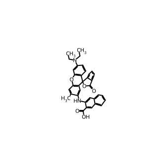 CCN(CC)c1ccc2c(c1)Oc1cc(C)c(Nc3cc4ccccc4cc3C(=O)O)cc1C21OC(=O)c2ccccc21